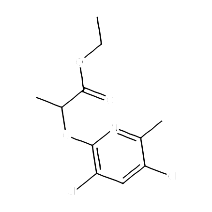 CCOC(=O)C(C)Oc1nc(C)c(Cl)cc1Cl